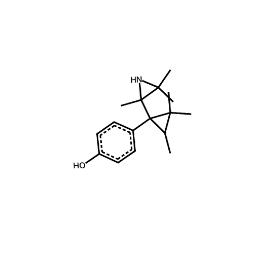 CC1C(C)(C)C1(c1ccc(O)cc1)C1(C)NC1(C)C